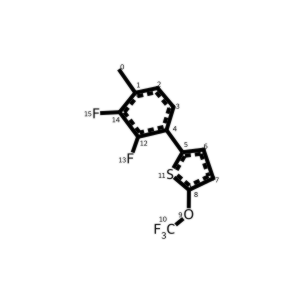 Cc1ccc(-c2ccc(OC(F)(F)F)s2)c(F)c1F